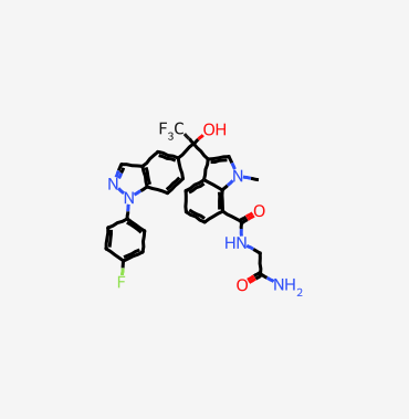 Cn1cc(C(O)(c2ccc3c(cnn3-c3ccc(F)cc3)c2)C(F)(F)F)c2cccc(C(=O)NCC(N)=O)c21